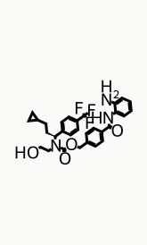 Nc1ccccc1NC(=O)c1ccc(COC(=O)N(CCO)[C@@H](CCC2CC2)c2ccc(C(F)(F)F)cc2)cc1